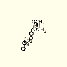 CCO[C@H](CNC(C)=O)Cc1ccc(OCCc2nc(-c3ccccc3)oc2C)cc1